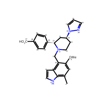 COc1cc(C)c2[nH]ccc2c1CN1CC[C@H](n2cccn2)C[C@H]1c1ccc(C(=O)O)cc1